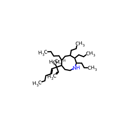 C=CC(C)(C=CCCC)C1CCNC(CCC)C(CCC)C(CCC)C[C@]1(C)CCCC